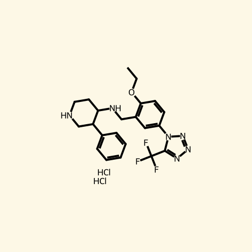 CCOc1ccc(-n2nnnc2C(F)(F)F)cc1CNC1CCNCC1c1ccccc1.Cl.Cl